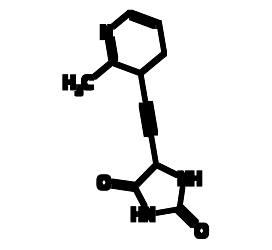 CC1=NC=CCC1C#CC1NC(=O)NC1=O